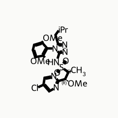 COc1cccc(OC)c1-n1c(CC(C)C)nnc1NS(=O)(=O)[C@@H](C)[C@H](OC)c1ncc(Cl)cn1